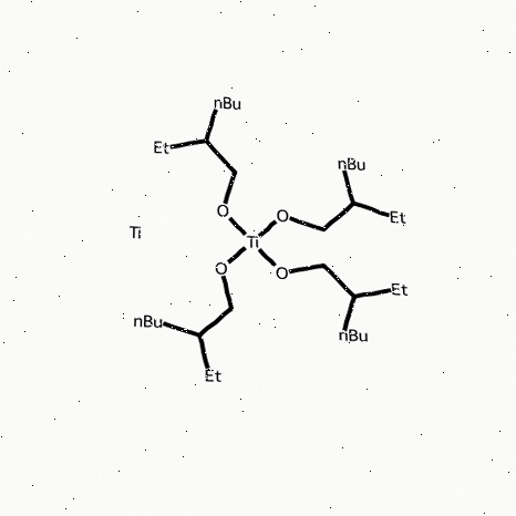 CCCCC(CC)C[O][Ti]([O]CC(CC)CCCC)([O]CC(CC)CCCC)[O]CC(CC)CCCC.[Ti]